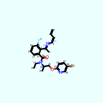 C=C/C=C\N=C(/C)c1c(F)cccc1C(=O)N(CC)C(C)COc1ccc(Br)cn1